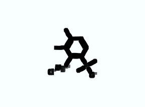 Cc1ccc([Si](C)(C)[O-])c(C)c1C.[Cl-].[Mg+2]